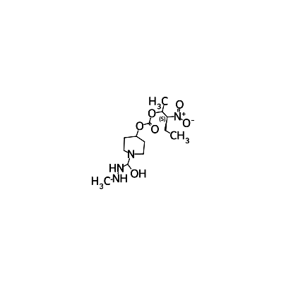 CC[C@@H](C(C)OC(=O)OC1CCN(C(O)NNC)CC1)[N+](=O)[O-]